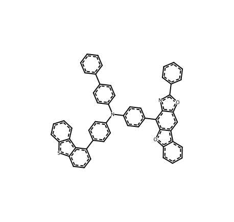 c1ccc(-c2ccc(N(c3ccc(-c4c5nc(-c6ccccc6)oc5cc5c4oc4ccccc45)cc3)c3ccc(-c4cccc5sc6ccccc6c45)cc3)cc2)cc1